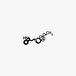 CCOC(=O)OC1CN(CCc2c[nH]c3ccccc23)C=CCC1=O